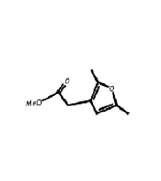 COC(=O)Cc1cc(C)oc1C